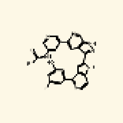 CC(C)C(=O)Nc1cncc(-c2cc3c(-c4cc5c(-c6cc(O)cc(F)c6)nccc5[nH]4)n[nH]c3cn2)c1